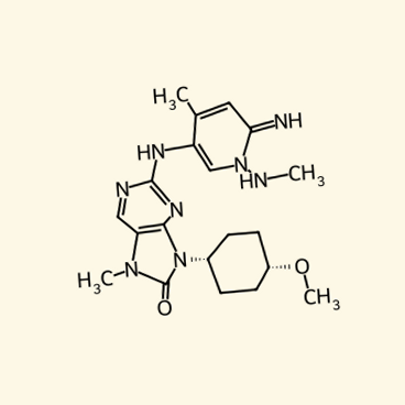 CNn1cc(Nc2ncc3c(n2)n([C@H]2CC[C@@H](OC)CC2)c(=O)n3C)c(C)cc1=N